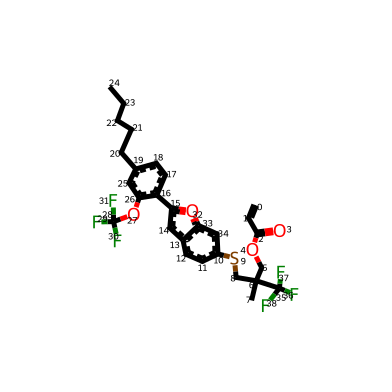 C=CC(=O)OCC(C)(CSc1ccc2cc(-c3ccc(CCCCC)cc3OC(F)(F)F)oc2c1)C(F)(F)F